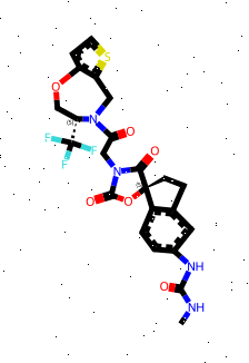 CNC(=O)Nc1ccc2c(c1)CC[C@]21OC(=O)N(CC(=O)N2Cc3sccc3OC[C@H]2C(F)(F)F)C1=O